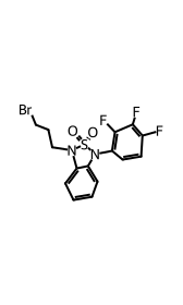 O=S1(=O)N(CCCBr)c2ccccc2N1c1ccc(F)c(F)c1F